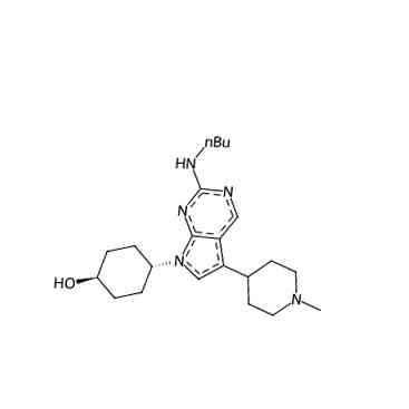 CCCCNc1ncc2c(C3CCN(C)CC3)cn([C@H]3CC[C@H](O)CC3)c2n1